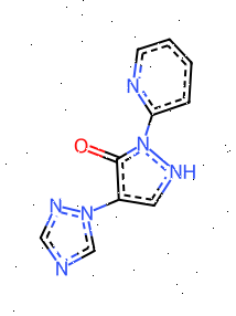 O=c1c(-n2cncn2)c[nH]n1-c1ccccn1